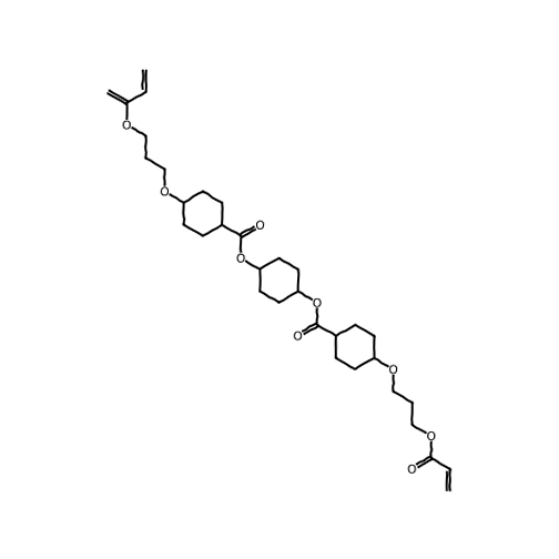 C=CC(=C)OCCCOC1CCC(C(=O)OC2CCC(OC(=O)C3CCC(OCCCOC(=O)C=C)CC3)CC2)CC1